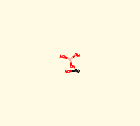 O=NO.OB(O)O